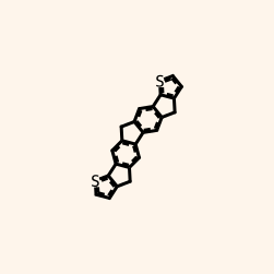 c1cc2c(s1)-c1cc3c(cc1C2)-c1cc2c(cc1C3)-c1sccc1C2